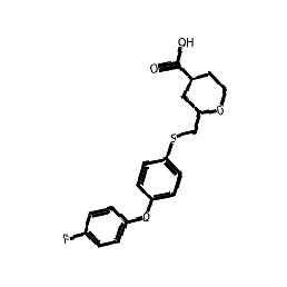 O=C(O)C1CCOC(CSc2ccc(Oc3ccc(F)cc3)cc2)C1